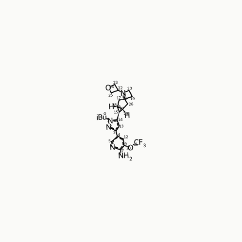 CCC(C)n1nc(-c2cnc(N)c(OC(F)(F)F)c2)cc1[C@H]1[C@@H]2C[C@@]3(CCN3C3COC3)C[C@@H]21